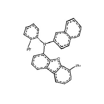 CC(C)c1ccccc1N(c1ccc2ccccc2c1)c1cccc2c1oc1c(C(C)(C)C)cccc12